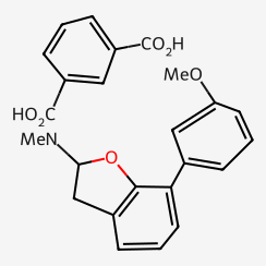 CNC1Cc2cccc(-c3cccc(OC)c3)c2O1.O=C(O)c1cccc(C(=O)O)c1